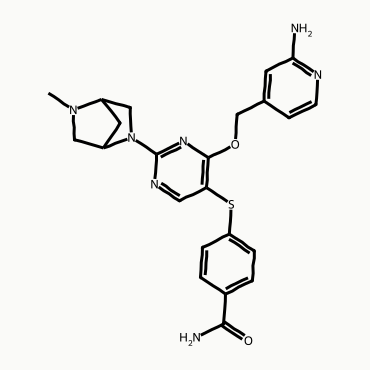 CN1CC2CC1CN2c1ncc(Sc2ccc(C(N)=O)cc2)c(OCc2ccnc(N)c2)n1